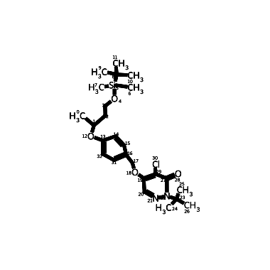 CC(CCO[Si](C)(C)C(C)(C)C)Oc1ccc(COc2cnn(C(C)(C)C)c(=O)c2Cl)cc1